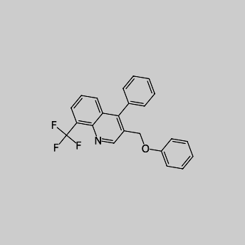 FC(F)(F)c1cccc2c(-c3ccccc3)c(COc3ccccc3)cnc12